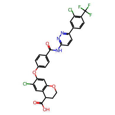 O=C(Nc1ccc(-c2ccc(C(F)(F)F)c(Cl)c2)nn1)c1ccc(Oc2cc3c(cc2Cl)C(C(=O)O)CCO3)cc1